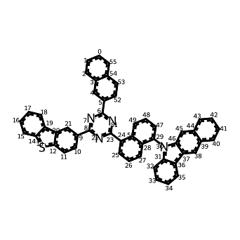 c1ccc2cc(-c3nc(-c4ccc5sc6ccccc6c5c4)nc(-c4cccc5c(-n6c7ccccc7c7cc8ccccc8cc76)cccc45)n3)ccc2c1